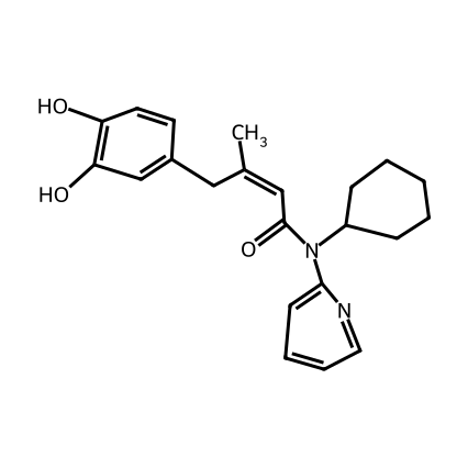 C/C(=C/C(=O)N(c1ccccn1)C1CCCCC1)Cc1ccc(O)c(O)c1